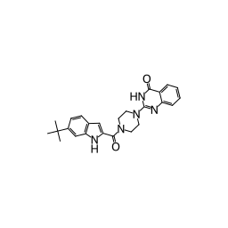 CC(C)(C)c1ccc2cc(C(=O)N3CCN(c4nc5ccccc5c(=O)[nH]4)CC3)[nH]c2c1